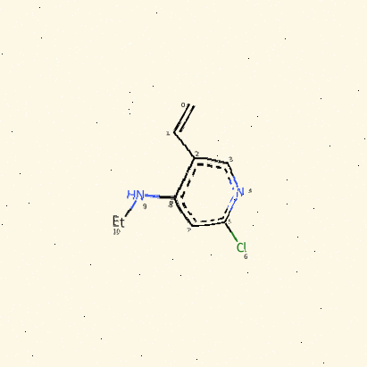 C=Cc1cnc(Cl)cc1NCC